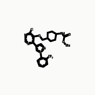 CC(C)(C)OC(=O)NC1CCC(COc2c(Cl)ncnc2-c2cnn(-c3ccccc3C(F)(F)F)c2)CC1